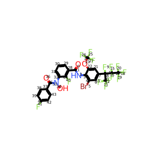 O=C(Nc1c(Br)cc(C(F)(C(F)(F)F)C(F)(F)C(F)(F)F)cc1OC(F)(F)F)c1cccc(N(O)C(=O)c2ccc(F)cc2)c1F